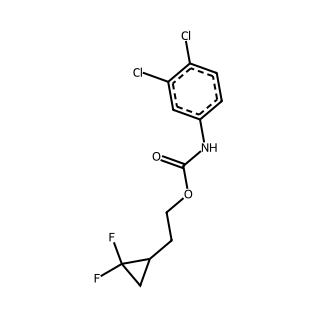 O=C(Nc1ccc(Cl)c(Cl)c1)OCCC1CC1(F)F